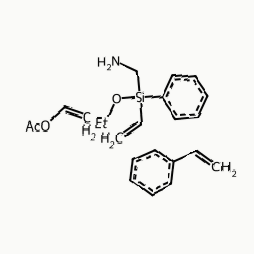 C=COC(C)=O.C=C[Si](CN)(OCC)c1ccccc1.C=Cc1ccccc1